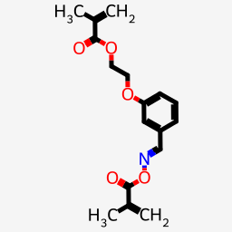 C=C(C)C(=O)OCCOc1cccc(C=NOC(=O)C(=C)C)c1